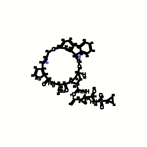 C=C[C@@H]1C[C@]1(NC(=O)[C@@H]1C[C@@H]2CN1C(=O)[C@H](C(C)(C)C)NC(=O)c1sccc1/C=C/COc1ccc3c(c1)/C(=N\O2)c1ccccc1-3)C(=O)NS(=O)(=O)C1CC1